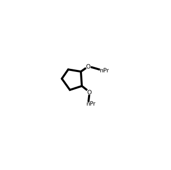 CCCOC1CCCC1OCCC